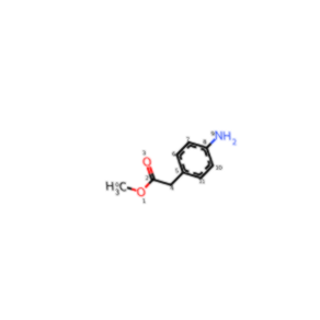 COC(=O)Cc1ccc(N)cc1